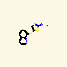 Nc1ncc(Sc2cccc3cccnc23)s1